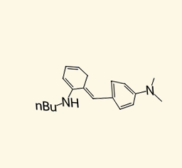 CCCCNC1=CC=CCC1=Cc1ccc(N(C)C)cc1